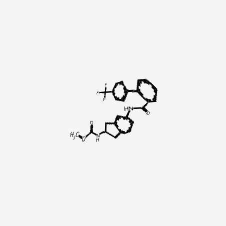 COC(=O)NC1Cc2ccc(NC(=O)c3ccccc3-c3ccc(C(F)(F)F)cc3)cc2C1